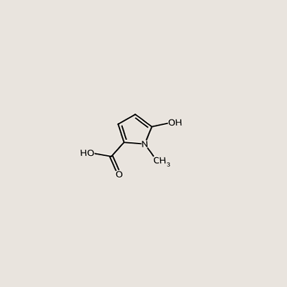 Cn1c(O)ccc1C(=O)O